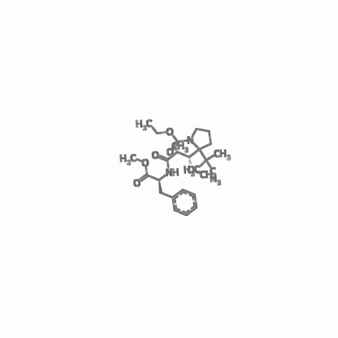 CCOC(=O)N1CCCC1([C@H](OC)[C@@H](C)C(=O)N[C@@H](Cc1ccccc1)C(=O)OC)C(C)(C)C